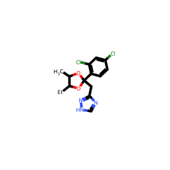 CCC1OC(Cc2nc[nH]n2)(c2ccc(Cl)cc2Cl)OC1C